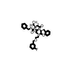 CCN1CC(=O)N2[C@@H](Cc3ccccc3)C(=O)N(CCOCc3cccc(F)c3)C[C@@H]2N1C(=O)NCc1ccccc1